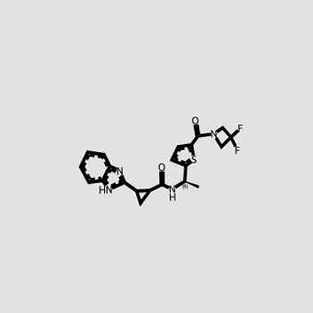 C[C@@H](NC(=O)C1CC1c1nc2ccccc2[nH]1)c1ccc(C(=O)N2CC(F)(F)C2)s1